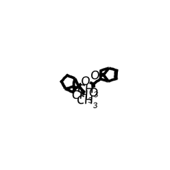 CCC1(OC(=O)C2CC3C=CC2C3=O)CC2CCC1C2(C)C